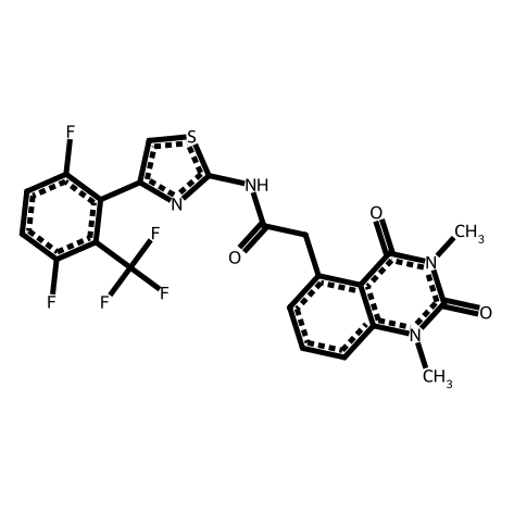 Cn1c(=O)c2c(CC(=O)Nc3nc(-c4c(F)ccc(F)c4C(F)(F)F)cs3)cccc2n(C)c1=O